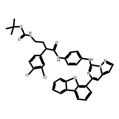 CC(C)(C)OC(=O)NCCC(C(=O)Nc1ccc(Nc2nc(-c3cccc4c3oc3ccccc34)cc3ccnn23)cc1)c1ccc(Cl)c(Cl)c1